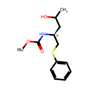 CC(O)C[C@@H](CSc1ccccc1)NC(=O)OC(C)(C)C